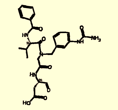 CC(C)[C@H](NC(=O)c1ccccc1)C(=O)N(CC(=O)N[C@H](C=O)CC(=O)O)Cc1cccc(NC(N)=O)c1